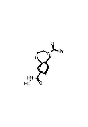 CC(C)C(=O)N1CCOc2cc(C(=O)NO)ccc2C1